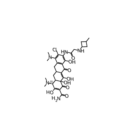 CC1CC(NCC(=O)Nc2c(O)c3c(c(N(C)C)c2Cl)CC2CC4[C@H](N(C)C)C(O)=C(C(N)=O)C(=O)C4(O)C(O)=C2C3=O)C1